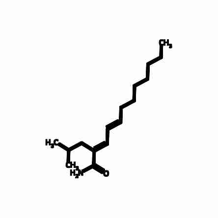 CCCCCCC/C=C/C=C(\CC(C)C)C(N)=O